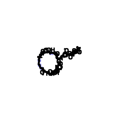 C=C(C)C(=O)OCC(C)(CO)C(=O)O[C@@H]1CC[C@@H](C[C@H](C)[C@@H]2CC(=O)C(C)/C=C(\C)[C@@H](O)C(OC)C(=O)[C@H](C)CC(C)/C=C/C=C/C=C(\C)[C@@H](OC)C[C@@H]3CC[C@@H](C)[C@@](O)(O3)C(=O)C(=O)N3CCCCC3C(=O)O2)C[C@H]1OC